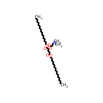 CCCCCCCCCCCCCCCCCCOC(=O)CCC(OC(=O)CCN(C)C)C(=O)OCCCCCCCCCCCCCCCCCC